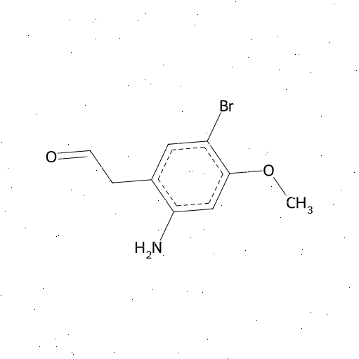 COc1cc(N)c(CC=O)cc1Br